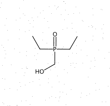 CCP(=O)(CC)CO